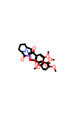 COc1ccc(OCCN2CCC3CCCC(C2=O)N3C(=O)C(=O)c2cc(OC)c(OC)c(OC)c2)cc1OC